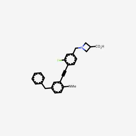 CNc1ccc(Cc2ccccc2)cc1C#Cc1ccc(CN2CC(C(=O)O)C2)cc1F